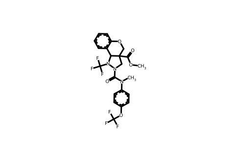 COC(=O)C12COc3ccccc3C1N(C(F)(F)F)N(C(=O)N(C)c1ccc(OC(F)(F)F)cc1)C2